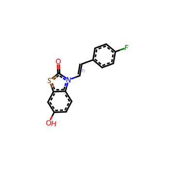 O=c1sc2cc(O)ccc2n1/C=C/c1ccc(F)cc1